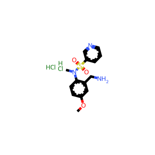 COc1ccc(N(C)S(=O)(=O)c2cccnc2)c(CN)c1.Cl.Cl